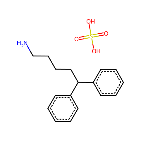 NCCCCC(c1ccccc1)c1ccccc1.O=S(=O)(O)O